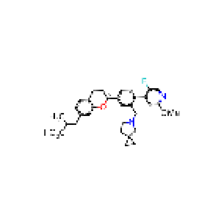 COc1cc(-c2ccc([C@@H]3CCc4ccc(CC(C)C(=O)O)cc4O3)cc2CN2CCC3(CC3)C2)c(F)cn1